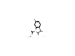 CCOC(=O)C1C(C=O)c2ccc(Cl)cc2N1C(=O)OC(C)(C)C